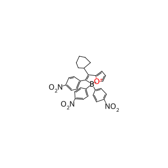 O=[N+]([O-])c1ccc(C2=C(C3CCCCC3)c3ccc[o+]3[B-]2(c2ccc([N+](=O)[O-])cc2)c2ccc([N+](=O)[O-])cc2)cc1